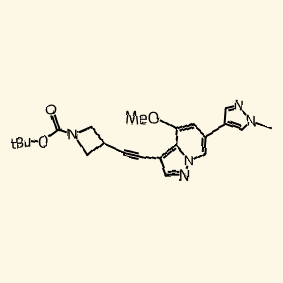 COc1cc(-c2cnn(C)c2)cn2ncc(C#CC3CN(C(=O)OC(C)(C)C)C3)c12